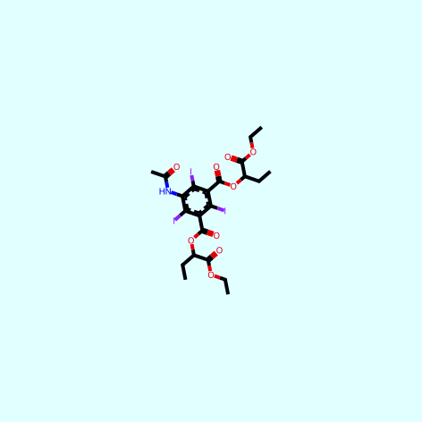 CCOC(=O)C(CC)OC(=O)c1c(I)c(NC(C)=O)c(I)c(C(=O)OC(CC)C(=O)OCC)c1I